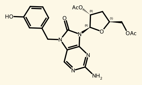 CC(=O)OC[C@@H]1C[C@@H](OC(C)=O)[C@H](n2c(=O)n(Cc3cccc(O)c3)c3cnc(N)nc32)O1